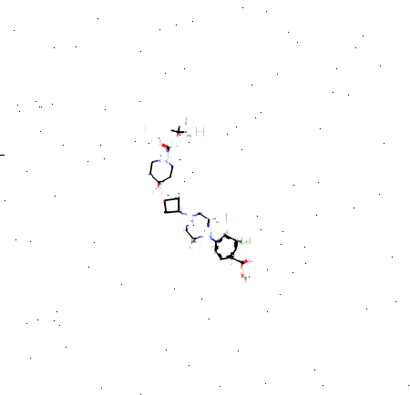 COC(=O)c1ccc(N2[C@H](C)CN(C3CC(OC4CCN(C(=O)OC(C)(C)C)CC4)C3)C[C@@H]2C)cc1Br